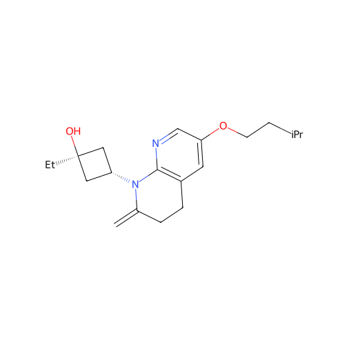 C=C1CCc2cc(OCCC(C)C)cnc2N1[C@H]1C[C@@](O)(CC)C1